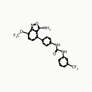 Nc1onc2c(OC(F)(F)F)ccc(-c3ccc(NC(=O)Nc4cccc(C(F)(F)F)c4)cc3)c12